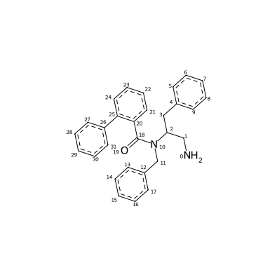 NCC(Cc1ccccc1)N(Cc1ccccc1)C(=O)c1ccccc1-c1ccccc1